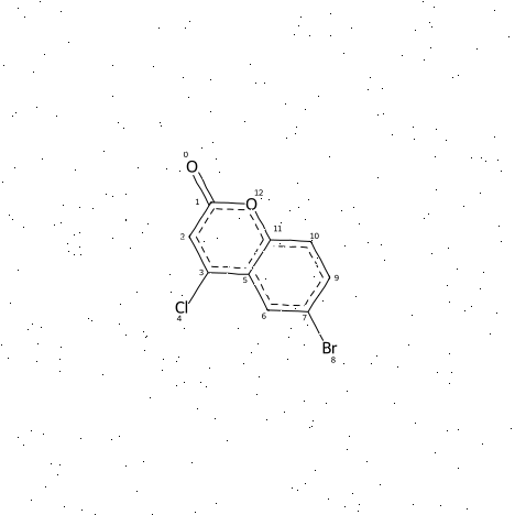 O=c1cc(Cl)c2cc(Br)ccc2o1